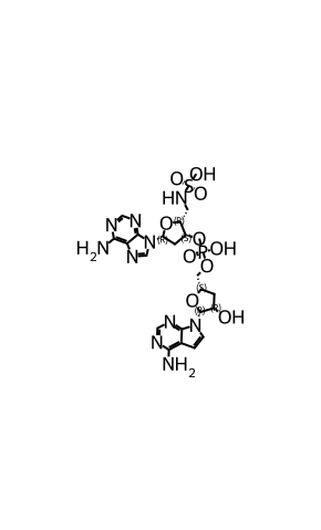 Nc1ncnc2c1ccn2[C@@H]1O[C@H](COP(=O)(O)O[C@H]2C[C@H](n3cnc4c(N)ncnc43)O[C@@H]2CNS(=O)(=O)O)C[C@H]1O